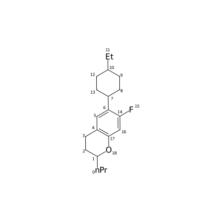 CCCC1CCc2cc(C3CCC(CC)CC3)c(F)cc2O1